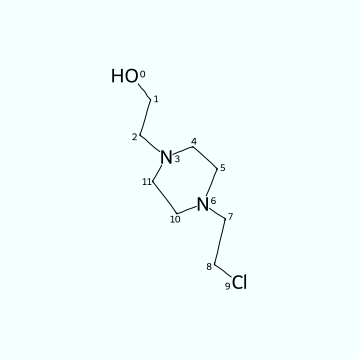 OCCN1CCN(CCCl)CC1